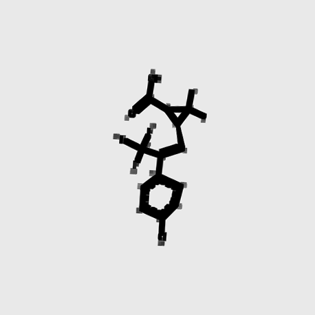 CC1(C)C(C(=O)O)[C@@H]1C=C(c1ccc(Cl)cc1)C(F)(F)F